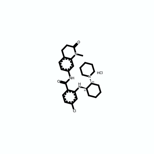 CN1C(=O)CCc2ccc(NC(=O)c3ccc(Cl)cc3N[C@@H]3CCCC[C@H]3N3CCCCC3)cc21.Cl